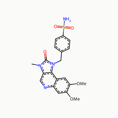 COc1cc2ncc3c(c2cc1OC)n(Cc1ccc(S(N)(=O)=O)cc1)c(=O)n3C